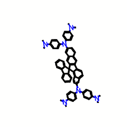 CN(C)c1ccc(N(c2ccc(N(C)C)cc2)c2ccc3cc4c(cc3c2)C2(c3ccccc3-c3ccccc32)c2c-4ccc3cc(N(c4ccc(N(C)C)cc4)c4ccc(N(C)C)cc4)ccc23)cc1